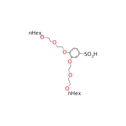 CCCCCCOCCOCCOc1ccc(S(=O)(=O)O)cc1OCCOCCOCCCCCC